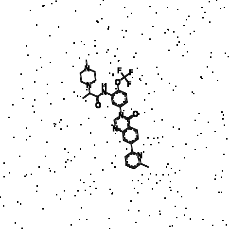 Cc1cccc(-c2ccc3c(=O)n(-c4ccc(OC(F)(F)F)c(NC(=O)C(C)N5CCN(C)CC5)c4)cnc3c2)n1